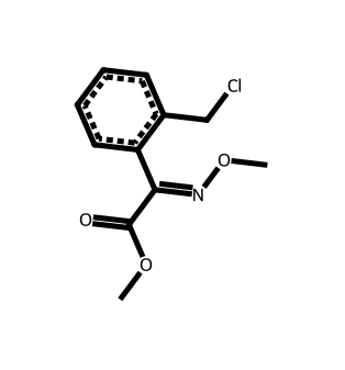 CO/N=C(/C(=O)OC)c1ccccc1CCl